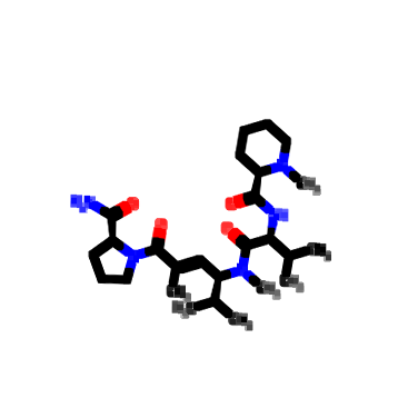 C/C(=C\[C@H](C(C)C)N(C)C(=O)[C@@H](NC(=O)[C@H]1CCCCN1C)C(C)C)C(=O)N1CCC[C@H]1C(N)=O